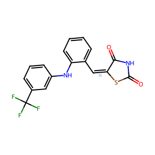 O=C1NC(=O)/C(=C\c2ccccc2Nc2cccc(C(F)(F)F)c2)S1